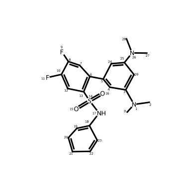 CN(C)c1cc(-c2cc(F)c(F)cc2S(=O)(=O)Nc2ccccc2)cc(N(C)C)c1